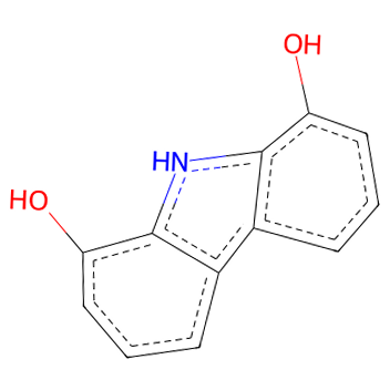 Oc1cccc2c1[nH]c1c(O)cccc12